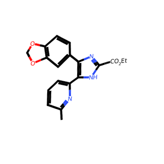 CCOC(=O)c1nc(-c2ccc3c(c2)OCO3)c(-c2cccc(C)n2)[nH]1